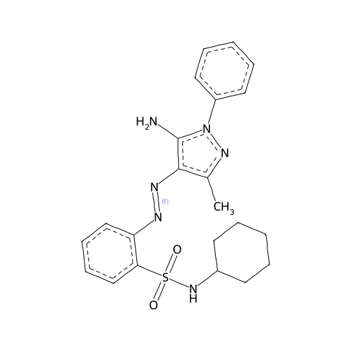 Cc1nn(-c2ccccc2)c(N)c1/N=N/c1ccccc1S(=O)(=O)NC1CCCCC1